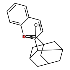 O=C(O)C12CC3CC(C1)C(c1ccc4ccccc4n1)C(C3)C2